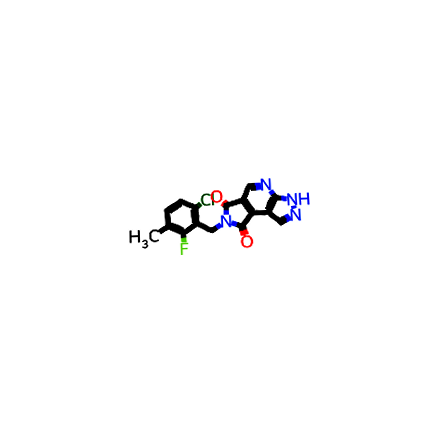 Cc1ccc(Cl)c(CN2C(=O)c3cnc4[nH]ncc4c3C2=O)c1F